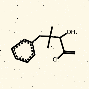 [CH]=C(Cl)C(O)C(C)(C)Cc1ccccc1